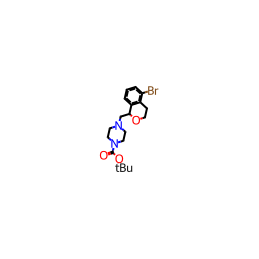 CC(C)(C)OC(=O)N1CCN(CC2OCCc3c(Br)cccc32)CC1